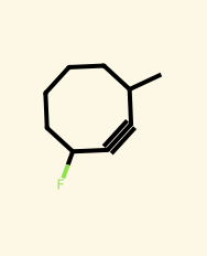 CC1C#CC(F)CCCC1